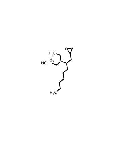 CCCCCCC(CC1CO1)N(CC)CC.Cl